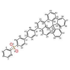 O=S(=O)(c1ccccc1)c1ccc(-c2ccc(-c3ccc4c5c(cccc35)C(c3ccccc3)(c3ccccc3)c3ccccc3-4)cc2)cc1